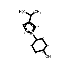 CC(C)c1cnn(C2CCC(O)CC2)c1